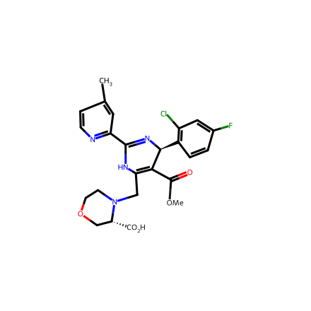 COC(=O)C1=C(CN2CCOC[C@H]2C(=O)O)NC(c2cc(C)ccn2)=N[C@H]1c1ccc(F)cc1Cl